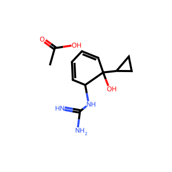 CC(=O)O.N=C(N)NC1C=CC=CC1(O)C1CC1